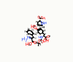 CC(C)(C)OC(=O)NC(Cc1ccc(O)cc1)C(=O)O.NC(Cc1ccccc1)C(=O)O.O=C(O)[C@H]1CCCN1